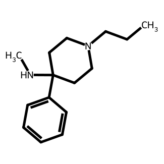 CCCN1CCC(NC)(c2ccccc2)CC1